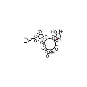 CC[C@H]1OC(=O)[C@H](C)[C@@H](O[C@H]2C[C@@](C)(OC)[C@@H](OC(=O)CCN(CC)CC)[C@H](C)O2)[C@H](C)[C@@H](O[C@@H]2O[C@H](C)C[C@H](N(C)C)[C@H]2O)[C@](C)(OC)C[C@@H](C)C(=O)[C@H](C)[C@H]2NC(=O)O[C@@]21C